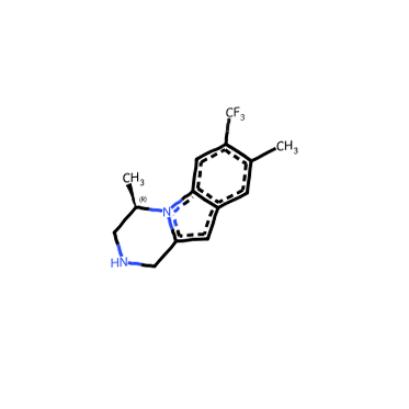 Cc1cc2cc3n(c2cc1C(F)(F)F)[C@H](C)CNC3